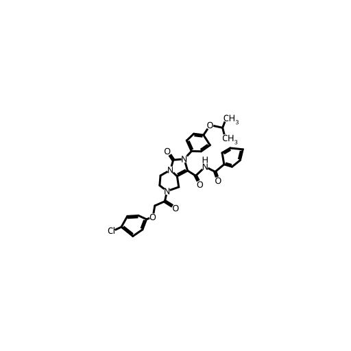 CC(C)Oc1ccc(-n2c(C(=O)NC(=O)c3ccccc3)c3n(c2=O)CCN(C(=O)COc2ccc(Cl)cc2)C3)cc1